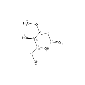 CO[C@H](CC=O)[C@H](O)[C@H](O)CO